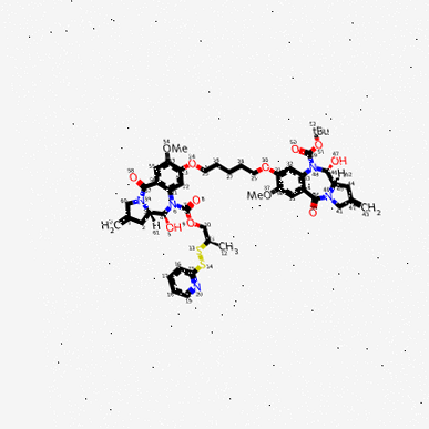 C=C1C[C@H]2[C@H](O)N(C(=O)OC[C@@H](C)SSc3ccccn3)c3cc(OCCCCCOc4cc5c(cc4OC)C(=O)N4CC(=C)C[C@H]4[C@H](O)N5C(=O)OC(C)(C)C)c(OC)cc3C(=O)N2C1